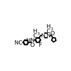 Cc1c(CN2CCN(C(=O)C3CCCC3)[C@@H](C)C2)cc(F)cc1NC(=O)c1ccc(C#N)cc1